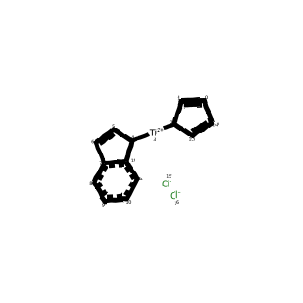 C1=C[CH]([Ti+2][CH]2C=Cc3ccccc32)C=C1.[Cl-].[Cl-]